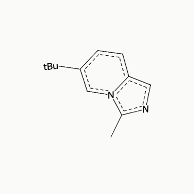 Cc1ncc2ccc(C(C)(C)C)cn12